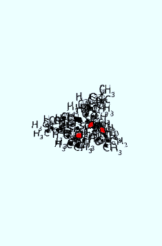 C=C[Si]([Si](O[SiH2]O[Si](C)(C)C)(O[Si](C)(C)C)O[Si](C)(C)C)([Si](O[SiH2]O[Si](C)(C)C)(O[Si](C)(C)C)O[Si](C)(C)C)[Si](O[SiH2]O[Si](C)(C)C)(O[Si](C)(C)C)O[Si](C)(C)C